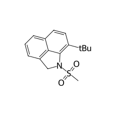 CC(C)(C)c1ccc2cccc3c2c1N(S(C)(=O)=O)C3